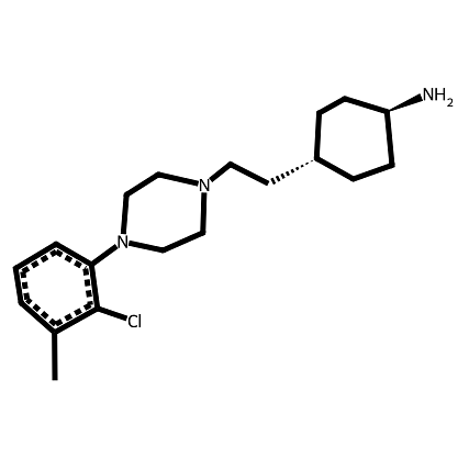 Cc1cccc(N2CCN(CC[C@H]3CC[C@H](N)CC3)CC2)c1Cl